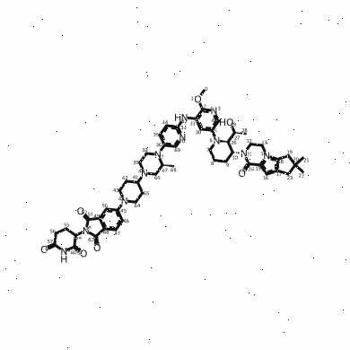 COc1ncc(N2CCC[C@@H](N3CCn4c(cc5c4CC(C)(C)C5)C3=O)[C@@H]2[C@H](C)O)cc1Nc1ccc(N2CCN(C3CCN(c4ccc5c(c4)C(=O)N(C4CCC(=O)NC4=O)C5=O)CC3)C[C@@H]2C)cn1